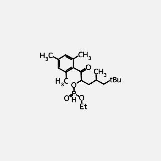 CCO[PH](=O)OC(CC(C)CC(C)(C)C)C(=O)c1c(C)cc(C)cc1C